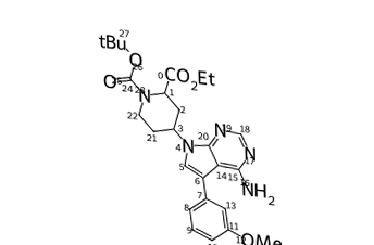 CCOC(=O)C1CC(n2cc(-c3cccc(OC)c3)c3c(N)ncnc32)CCN1C(=O)OC(C)(C)C